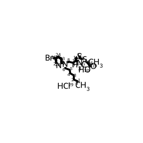 CCCCCCCN(CCc1csc(SC(C)(C)C(=O)O)n1)c1ccc(Br)cn1.Cl